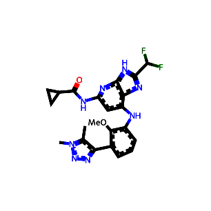 COc1c(Nc2cc(NC(=O)C3CC3)nc3[nH]c(C(F)F)nc23)cccc1-c1nnn(C)c1C